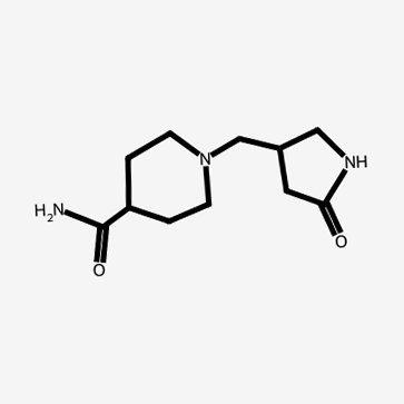 NC(=O)C1CCN(CC2CNC(=O)C2)CC1